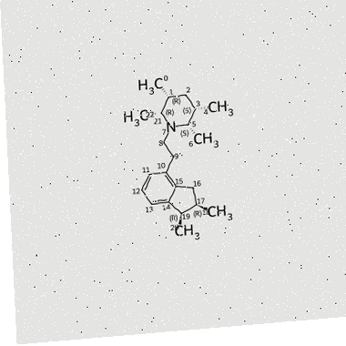 C[C@@H]1C[C@H](C)[C@H](C)N(CCc2cccc3c2C[C@@H](C)[C@H]3C)[C@@H]1C